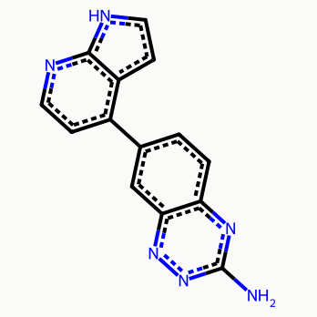 Nc1nnc2cc(-c3ccnc4[nH]ccc34)ccc2n1